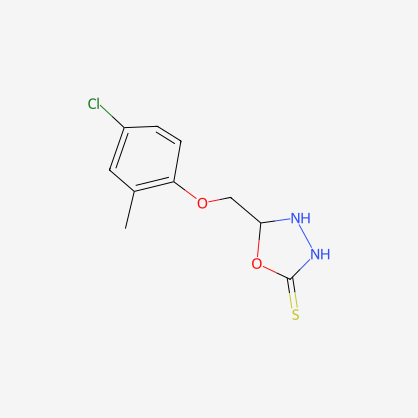 Cc1cc(Cl)ccc1OCC1NNC(=S)O1